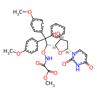 COC(=O)C(=O)NOC([C@H]1O[C@@H](n2ccc(=O)[nH]c2=O)C[C@@H]1O)C(c1ccccc1)(c1ccc(OC)cc1)c1ccc(OC)cc1